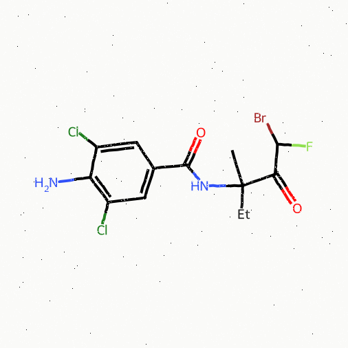 CCC(C)(NC(=O)c1cc(Cl)c(N)c(Cl)c1)C(=O)C(F)Br